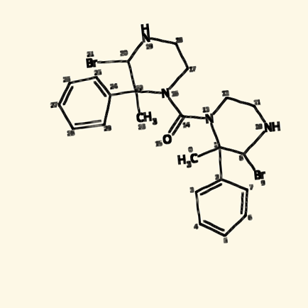 CC1(c2ccccc2)C(Br)NCCN1C(=O)N1CCNC(Br)C1(C)c1ccccc1